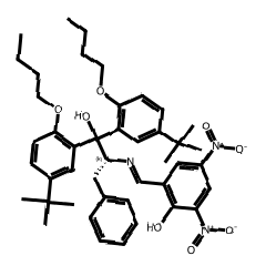 CCCCOc1ccc(C(C)(C)C)cc1C(O)(c1cc(C(C)(C)C)ccc1OCCCC)[C@@H](Cc1ccccc1)N=Cc1cc([N+](=O)[O-])cc([N+](=O)[O-])c1O